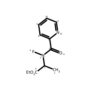 CCOC(=O)C(C)N(F)C(=O)c1ccccn1